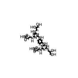 O=S(=O)(O)CCNc1nc(NCC(O)CO)nc(Nc2cccc(Nc3nc(NCCS(=O)(=O)O)nc(NCC(O)CO)n3)c2)n1